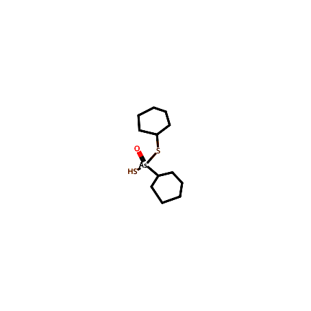 O=[As](S)(SC1CCCCC1)C1CCCCC1